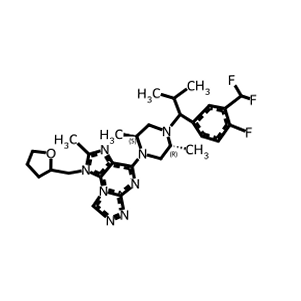 Cc1nc2c(N3C[C@@H](C)N(C(c4ccc(F)c(C(F)F)c4)C(C)C)C[C@@H]3C)nc3nncn3c2n1CC1CCCO1